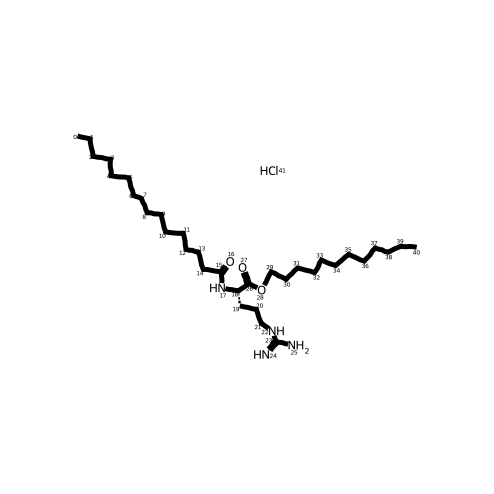 CCCCCCCCCCCCCCCC(=O)N[C@@H](CCCNC(=N)N)C(=O)OCCCCCCCCCCCC.Cl